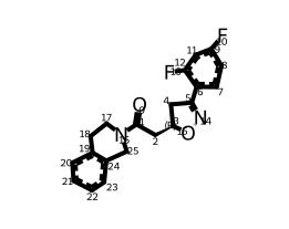 O=C(C[C@H]1CC(c2ccc(F)cc2F)=NO1)N1CCc2ccccc2C1